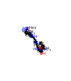 CCCCCCNC(=O)Nc1cc(-c2cc3cnc(NCCCCc4cn(CCCCC(=O)NC(C(=O)N5C[C@H](O)C[C@H]5C(=O)NC(C)c5ccc(-c6scnc6C)cc5)C(C)(C)C)nn4)nc3nc2C)c(C)cc1F